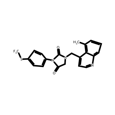 Cc1cccc2nccc(CN3CC(=O)N(c4ccc(SC(F)(F)F)cc4)C3=O)c12